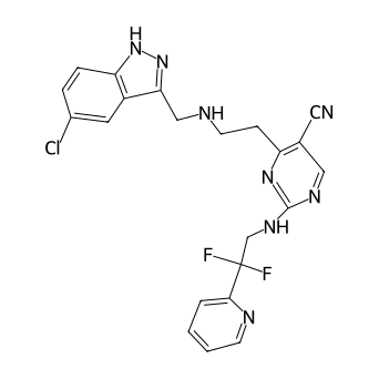 N#Cc1cnc(NCC(F)(F)c2ccccn2)nc1CCNCc1n[nH]c2ccc(Cl)cc12